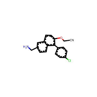 N#CCOc1ccc2cc(CN)ccc2c1-c1ccc(Cl)cc1